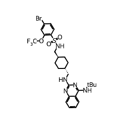 CC(C)(C)Nc1nc(NC[C@H]2CC[C@H](CNS(=O)(=O)c3ccc(Br)cc3OC(F)(F)F)CC2)nc2ccccc12